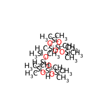 C[Si](C)(C)O[SiH](O[SiH2]O[SiH3])O[Si](C)(C)C.C[Si](C)(C)O[Si]1(C)O[Si](C)(C)O[Si](C)(C)O1